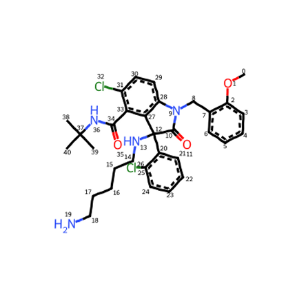 COc1ccccc1CN1C(=O)C(NCCCCCN)(c2ccccc2Cl)c2c1ccc(Cl)c2C(=O)NC(C)(C)C